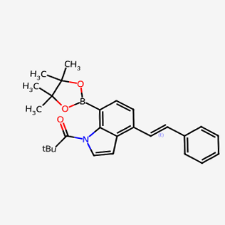 CC(C)(C)C(=O)n1ccc2c(/C=C/c3ccccc3)ccc(B3OC(C)(C)C(C)(C)O3)c21